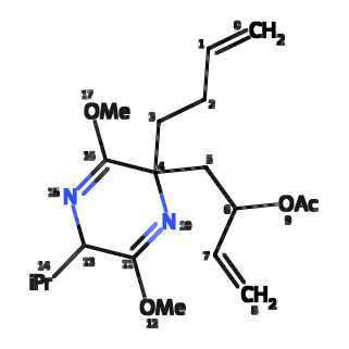 C=CCCC1(CC(C=C)OC(C)=O)N=C(OC)C(C(C)C)N=C1OC